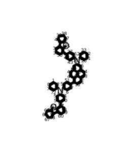 c1ccc(N(c2ccc(-c3ccc4ccc5cc(N(c6ccccc6)c6ccc(-c7cccc8c7oc7ccccc78)cc6)cc6ccc3c4c56)cc2)c2ccc(-c3cccc4c3oc3ccccc34)cc2)cc1